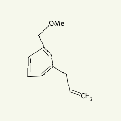 C=CCc1cccc(COC)c1